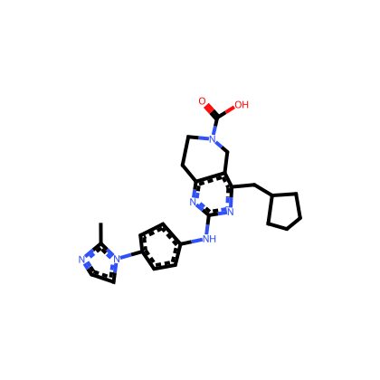 Cc1nccn1-c1ccc(Nc2nc3c(c(CC4CCCC4)n2)CN(C(=O)O)CC3)cc1